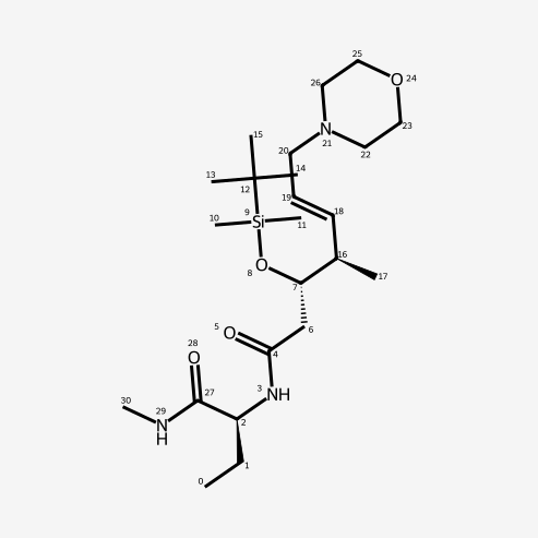 CC[C@H](NC(=O)C[C@H](O[Si](C)(C)C(C)(C)C)[C@H](C)/C=C/CN1CCOCC1)C(=O)NC